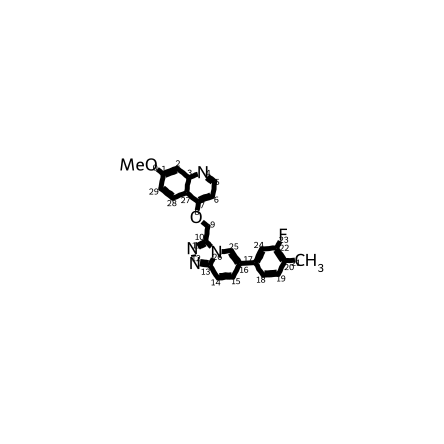 COC1=CC2N=CC=C(OCc3nnc4ccc(-c5ccc(C)c(F)c5)cn34)C2C=C1